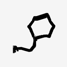 [CH2]C(C)CN1CC=CCC1